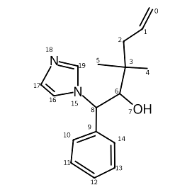 C=CCC(C)(C)C(O)C(c1ccccc1)n1ccnc1